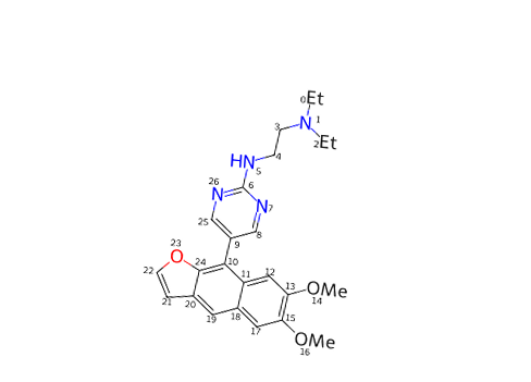 CCN(CC)CCNc1ncc(-c2c3cc(OC)c(OC)cc3cc3ccoc23)cn1